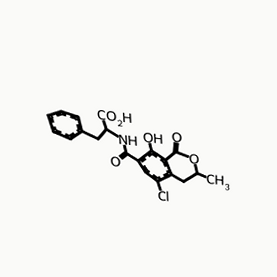 CC1Cc2c(Cl)cc(C(=O)NC(Cc3ccccc3)C(=O)O)c(O)c2C(=O)O1